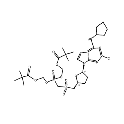 CC(C)(C)C(=O)OCOP(=O)(CS(=O)(=O)C[C@@H]1CC[C@H](n2ccc3c(NC4CCCC4)nc(Cl)nc32)O1)OCOC(=O)C(C)(C)C